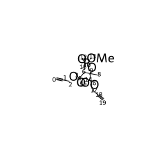 C#CCOC(=O)CC(C)(OP(C)(=O)OC)C(=O)OCC#C